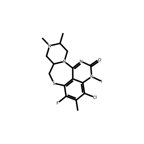 Cc1c(F)c2c3c(nc(=O)n(I)c3c1Cl)N1CC(C)N(C)CC1CS2